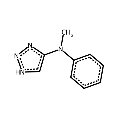 CN(c1ccccc1)c1c[nH]nn1